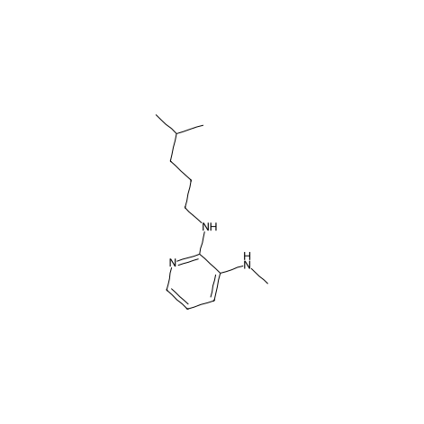 CNc1cccnc1NCCCC(C)C